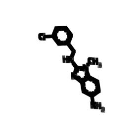 Cn1c(NCc2cccc(Cl)c2)nc2cc(N)ccc21